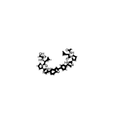 CC(=O)N[C@H](C(=O)N1CCC[C@H]1c1ncc(-c2ccc(-c3cc4cc(-c5cnc([C@@H]6CCCN6C(=O)[C@@H](NC(=O)CO)C6CC6)[nH]5)ccc4o3)cc2)[nH]1)C1CC1